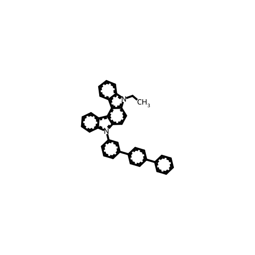 CCn1c2ccccc2c2c3c4ccccc4n(-c4cccc(-c5ccc(-c6ccccc6)cc5)c4)c3ccc21